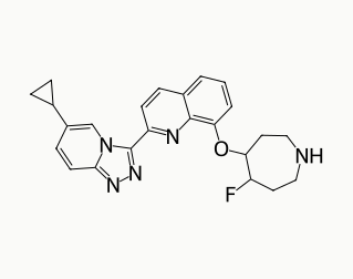 FC1CCNCCC1Oc1cccc2ccc(-c3nnc4ccc(C5CC5)cn34)nc12